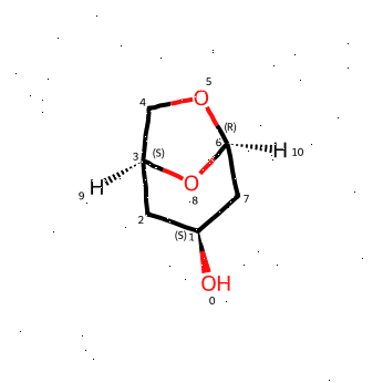 O[C@H]1C[C@H]2CO[C@@H](C1)O2